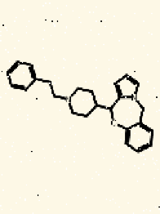 c1ccc(CCN2CCC(C3Oc4ccccc4Cn4cccc43)CC2)cc1